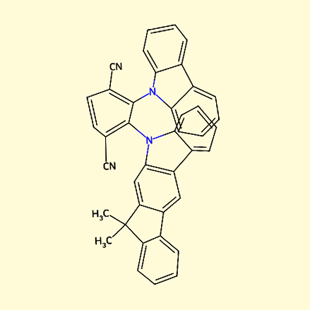 CC1(C)c2ccccc2-c2cc3c4ccccc4n(-c4c(C#N)ccc(C#N)c4-n4c5ccccc5c5ccccc54)c3cc21